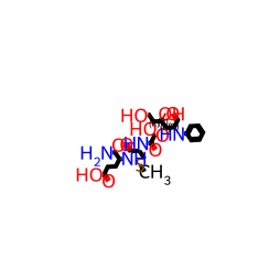 CSCC(NC(=O)CO[C@@H]([C@H](O)[C@H](O)CO)[C@H](C=O)Nc1ccccc1)C(=O)NC(CCC(=O)O)C(N)=O